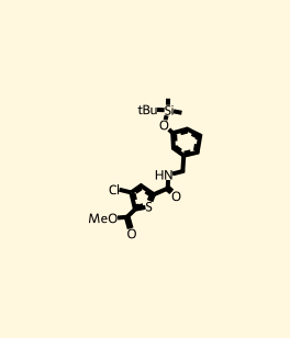 COC(=O)c1sc(C(=O)NCc2cccc(O[Si](C)(C)C(C)(C)C)c2)cc1Cl